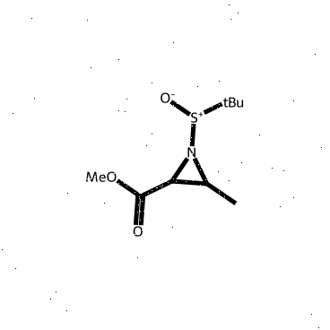 COC(=O)C1C(C)N1[S+]([O-])C(C)(C)C